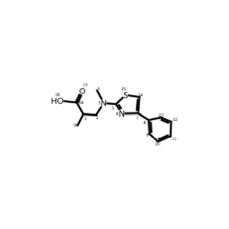 CC(CN(C)c1nc(-c2ccccc2)cs1)C(=O)O